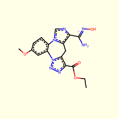 CCOC(=O)c1nnn2c1Cc1c(/C(N)=N/O)ncn1-c1ccc(OC)cc1-2